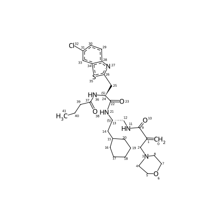 C=C(CN1CCOCC1)C(=O)NC[C@H](CC1CCCCC1)NC(=O)[C@H](Cc1nc2ccc(Cl)cc2s1)NC(=O)CCC